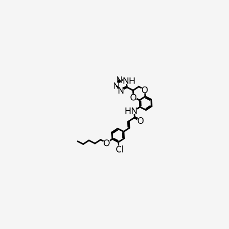 CCCCCOc1ccc(/C=C/C(=O)Nc2cccc3c2OC(c2nnn[nH]2)CO3)cc1Cl